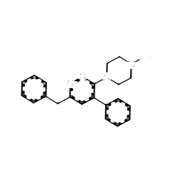 CN1CCN(c2nnc(Cc3ccccc3)cc2-c2ccccc2)CC1